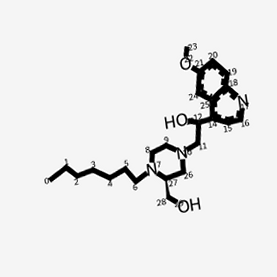 CCCCCCCN1CCN(CC(O)c2ccnc3ccc(OC)cc23)C[C@H]1CO